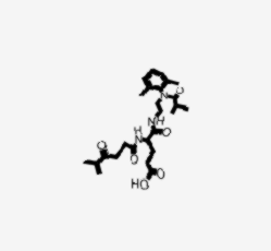 Cc1cccc(C)c1N(CCNC(=O)C(CCC(=O)O)NC(=O)CCC(=O)C(C)C)C(=O)C(C)C